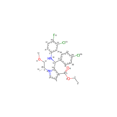 CCOC(=O)c1ccn([C@H](C)COC)c1C(Nc1ccc(F)c(Cl)c1)c1ccc(Cl)cc1